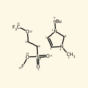 CCCCN1C=CN(C)C1.O=S(=O)(CCOC(F)(F)F)OF